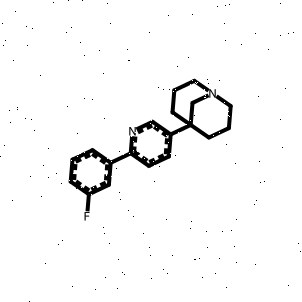 Fc1cccc(-c2ccc(C34CCCN(CCC3)C4)cn2)c1